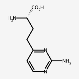 Nc1nccc(CC[C@H](N)C(=O)O)n1